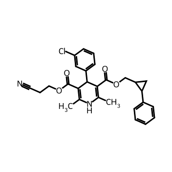 CC1=C(C(=O)OCCC#N)C(c2cccc(Cl)c2)C(C(=O)OCC2CC2c2ccccc2)=C(C)N1